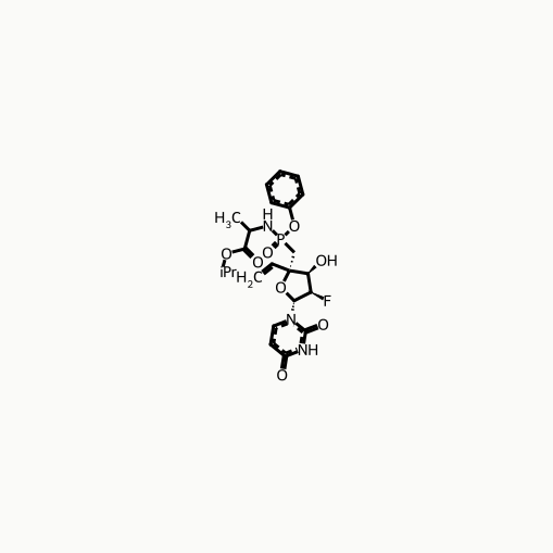 C=C[C@]1(CP(=O)(NC(C)C(=O)OC(C)C)Oc2ccccc2)O[C@@H](n2ccc(=O)[nH]c2=O)[C@H](F)[C@@H]1O